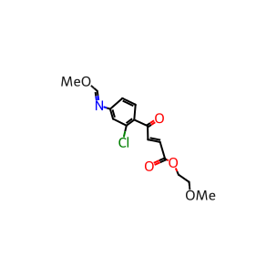 CO/C=N/c1ccc(C(=O)/C=C/C(=O)OCCOC)c(Cl)c1